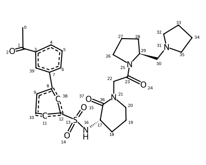 CC(=O)c1cccc(-c2cccc(S(=O)(=O)N[C@H]3CCCN(CC(=O)N4CCC[C@H]4CN4CCCC4)C3=O)c2)c1